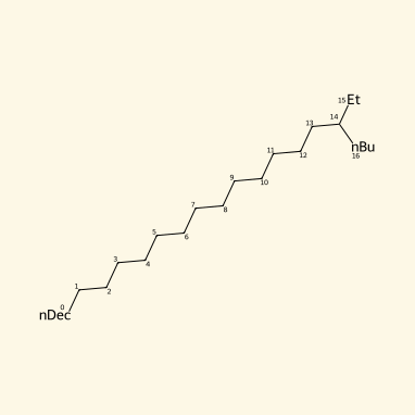 CCCCCCCCCCCCCCCCCCCCCCCC(CC)CCCC